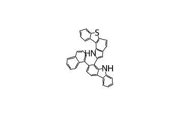 c1ccc2c(-c3ccc4c([nH]c5ccccc54)c3-c3cc4ccc5sc6ccccc6c5c4[nH]3)cccc2c1